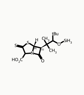 CC(C)(C)C(O[SiH3])C(C)(C)[C@H]1C(=O)N2C(C(=O)O)C(=S)S[C@H]12